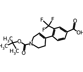 CC(C)(C)OC(=O)N1CC=C(c2ccc(C(=O)O)cc2C(F)(F)F)CC1